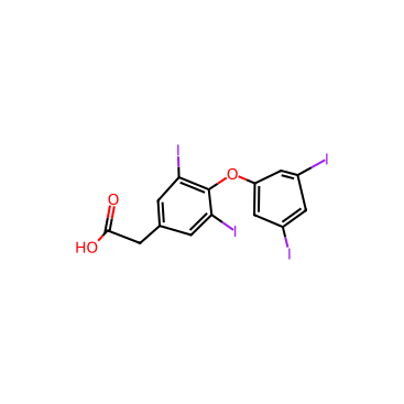 O=C(O)Cc1cc(I)c(Oc2cc(I)cc(I)c2)c(I)c1